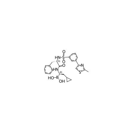 Cc1nc(-c2cccc(S(=O)(=O)N[C@@H](Cc3ccccc3)C(=O)N[C@@H](CC3CC3)B(O)O)c2)cs1